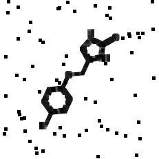 O=c1[nH]cc(COc2ccc(Br)cc2)[nH]1